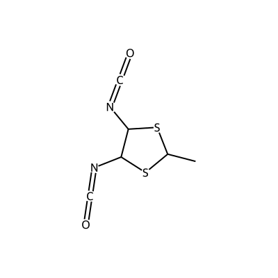 CC1SC(N=C=O)C(N=C=O)S1